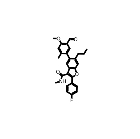 CCCc1cc2oc(-c3ccc(F)cc3)c(C(=O)NC)c2cc1-c1cc(C=O)c(OC)cc1C